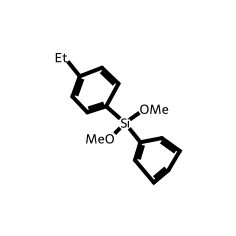 CCc1ccc([Si](OC)(OC)c2ccccc2)cc1